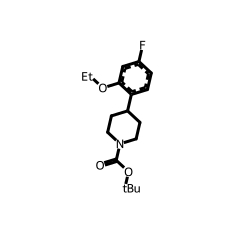 CCOc1cc(F)ccc1C1CCN(C(=O)OC(C)(C)C)CC1